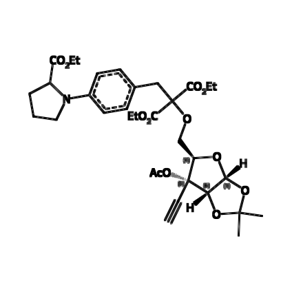 C#C[C@@]1(OC(C)=O)[C@@H](COC(Cc2ccc(N3CCCC3C(=O)OCC)cc2)(C(=O)OCC)C(=O)OCC)O[C@@H]2OC(C)(C)O[C@@H]21